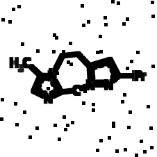 Cc1cnc2n1CCc1cc(C(C)C)nn1C2